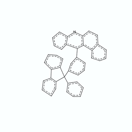 c1ccc(C2(c3cccc(-c4c5ccccc5nc5ccc6ccccc6c45)c3)c3ccccc3-c3ccccc32)cc1